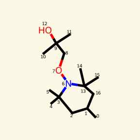 CC1CC(C)(C)N(OCC(C)(C)O)C(C)(C)C1